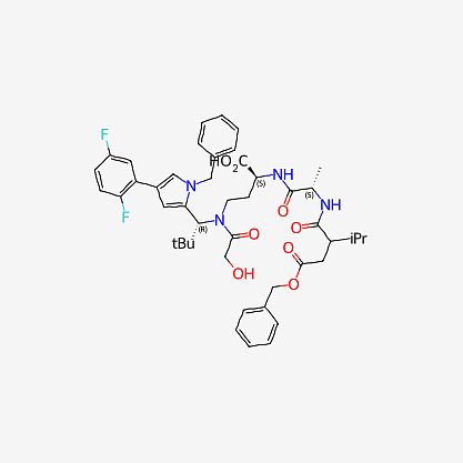 CC(C)C(CC(=O)OCc1ccccc1)C(=O)N[C@@H](C)C(=O)N[C@@H](CCN(C(=O)CO)[C@@H](c1cc(-c2cc(F)ccc2F)cn1Cc1ccccc1)C(C)(C)C)C(=O)O